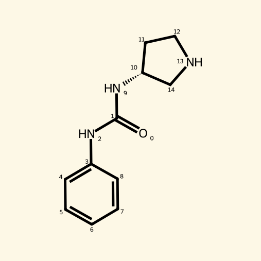 O=C(Nc1ccccc1)N[C@@H]1CCNC1